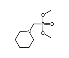 COP(=O)(CN1CCCCC1)OC